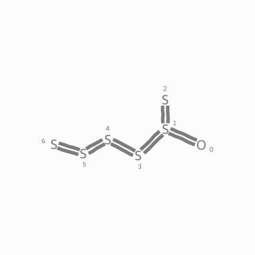 O=S(=S)=S=S=S=S